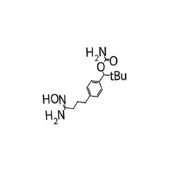 CC(C)(C)C(OC(N)=O)c1ccc(CCCC(N)=NO)cc1